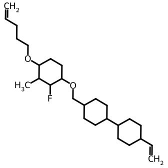 C=CCCCOC1CCC(OCC2CCC(C3CCC(C=C)CC3)CC2)C(F)C1C